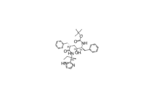 CC[C@](C)(NC(=O)[C@H](Cc1ccccc1)C[C@H](O)[C@H](Cc1ccccc1)NC(=O)OC(C)(C)C)c1ncc[nH]1